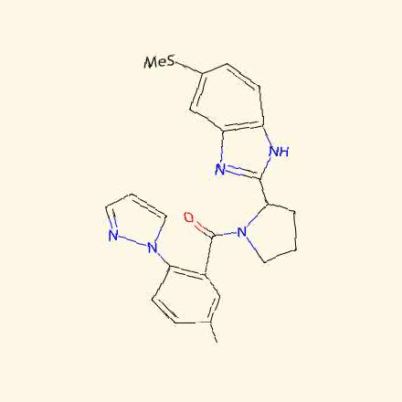 CSc1ccc2[nH]c(C3CCCN3C(=O)c3cc(C)ccc3-n3cccn3)nc2c1